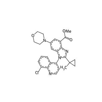 COC(=O)c1cc(N2CCOCC2)cc2c1nc(C1(C)CC1)n2-c1ccnc2c(Cl)cccc12